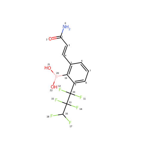 NC(=O)C=Cc1cccc(C(F)(F)C(F)(F)C(F)F)c1B(O)O